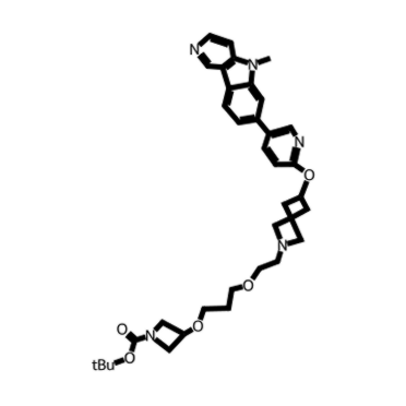 Cn1c2ccncc2c2ccc(-c3ccc(OC4CC5(C4)CN(CCOCCCOC4CN(C(=O)OC(C)(C)C)C4)C5)nc3)cc21